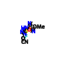 COc1cnc(C)cc1-c1cc(C)ncc1C(=O)Nc1nc2ncc(-c3ccc(C#N)cc3F)nc2s1